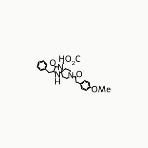 COc1ccc(CC(=O)N2CCC3(CC2)NC(Cc2ccccc2)C(=O)N3CC(=O)O)cc1